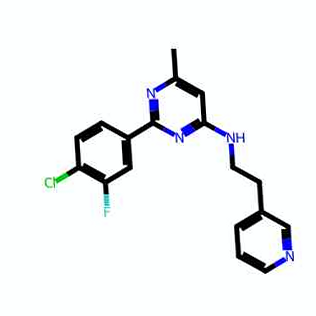 Cc1cc(NCCc2cccnc2)nc(-c2ccc(Cl)c(F)c2)n1